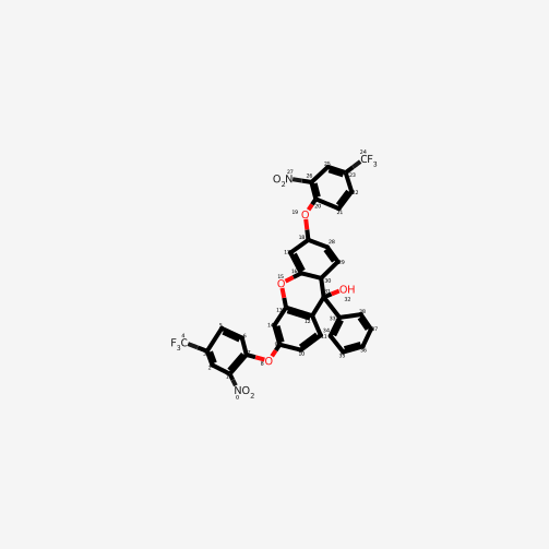 O=[N+]([O-])c1cc(C(F)(F)F)ccc1Oc1ccc2c(c1)OC1=CC(Oc3ccc(C(F)(F)F)cc3[N+](=O)[O-])C=CC1C2(O)c1ccccc1